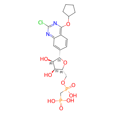 O=P(O)(O)CP(=O)(O)OC[C@H]1O[C@@H](c2ccc3c(OC4CCCC4)nc(Cl)nc3c2)[C@H](O)[C@@H]1O